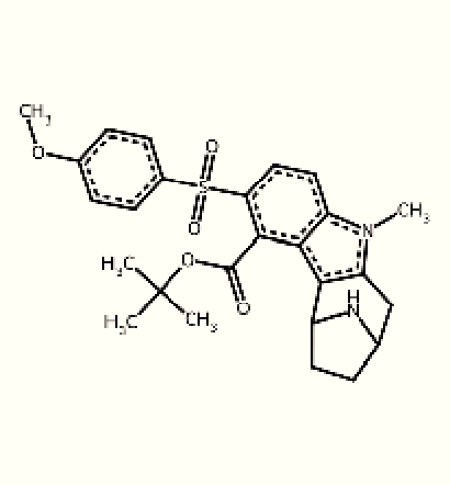 COc1ccc(S(=O)(=O)c2ccc3c(c2C(=O)OC(C)(C)C)c2c(n3C)CC3CCC2N3)cc1